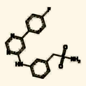 NS(=O)(=O)Cc1cccc(Nc2cc(-c3ccc(F)cc3)ncn2)c1